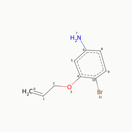 C=CCOc1cc(N)ccc1Br